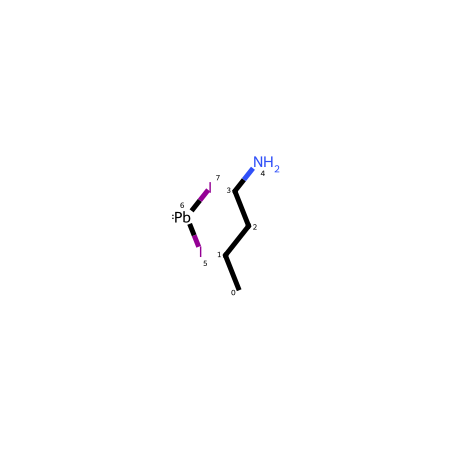 CCCCN.[I][Pb][I]